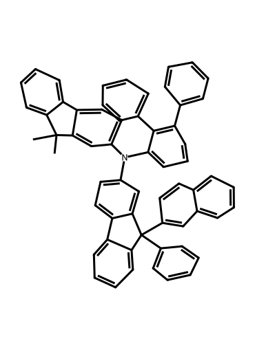 CC1(C)c2ccccc2-c2ccc(N(c3ccc4c(c3)C(c3ccccc3)(c3ccc5ccccc5c3)c3ccccc3-4)c3cccc(-c4ccccc4)c3-c3ccccc3)cc21